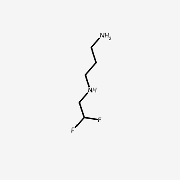 NCCCNCC(F)F